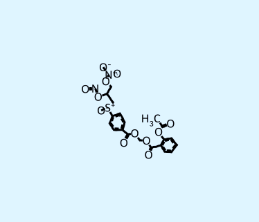 CC(=O)Oc1ccccc1C(=O)OCOC(=O)c1ccc([S+]([O-])CC(CO[N+](=O)[O-])ON=O)cc1